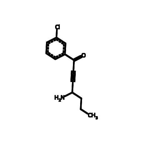 CCCC(N)C#CC(=O)c1cccc(Cl)c1